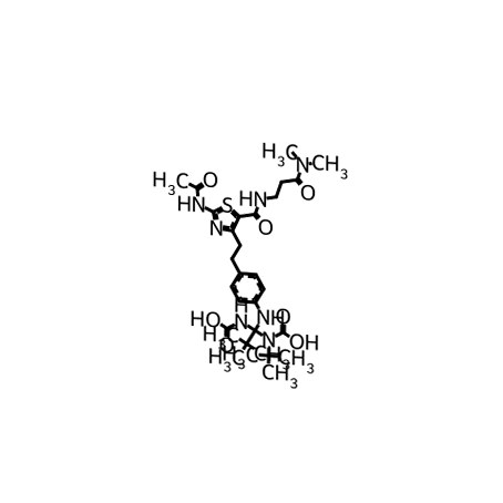 CC(=O)Nc1nc(CCc2ccc(NC(NC(=O)O)(N(C(=O)O)C(C)(C)C)C(C)(C)C)cc2)c(C(=O)NCCC(=O)N(C)C)s1